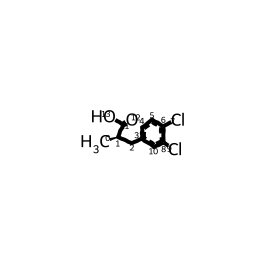 C[C@H](Cc1ccc(Cl)c(Cl)c1)C(=O)O